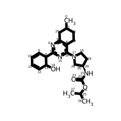 CC1CCc2c(nc(C3C=CC=CC3O)nc2N2CC[C@@H](NC(=O)OC(C)C)C2)C1